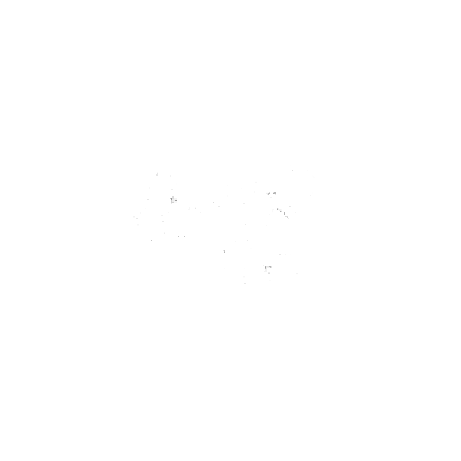 c1cc2ccc3ccc(-c4cc(-c5ccc6ccc7cccc8ccc5c6c78)c5cc6oc7ccccc7c6cc5c4)c4ccc(c1)c2c34